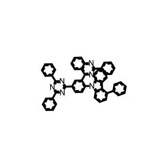 c1ccc(-c2nc(-c3ccccc3)nc(-c3ccc(-n4c5ccccc5c5c(-c6ccccc6)cccc54)c(-c4nc(-c5ccccc5)nc5ccccc45)c3)n2)cc1